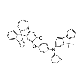 CC1(C)c2ccccc2-c2ccc(N(c3ccccc3)c3ccc4c(c3)Oc3cc5c(cc3O4)C3(c4ccccc4-c4ccccc43)C3C=CC=CC5=C3)cc21